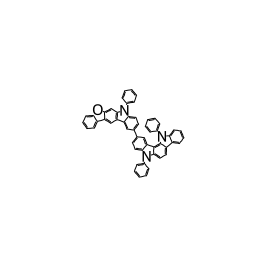 c1ccc(-n2c3ccc(-c4ccc5c(c4)c4c(ccc6c7ccccc7n(-c7ccccc7)c64)n5-c4ccccc4)cc3c3cc4c(cc32)oc2ccccc24)cc1